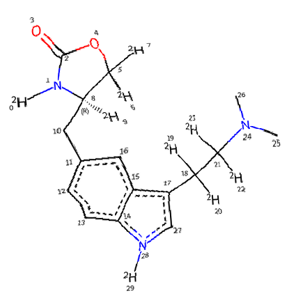 [2H]N1C(=O)OC([2H])([2H])[C@@]1([2H])Cc1ccc2c(c1)c(C([2H])([2H])C([2H])([2H])N(C)C)cn2[2H]